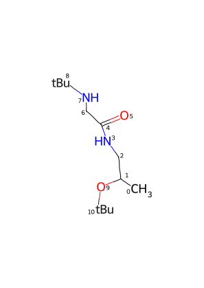 CC(CNC(=O)CNC(C)(C)C)OC(C)(C)C